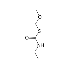 COCSC(=O)NC(C)C